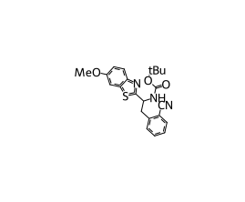 COc1ccc2nc(C(Cc3ccccc3C#N)NC(=O)OC(C)(C)C)sc2c1